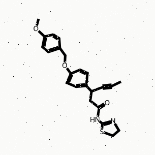 CC#CC(CC(=O)NC1=NCCS1)c1ccc(OCc2ccc(OC)cc2)cc1